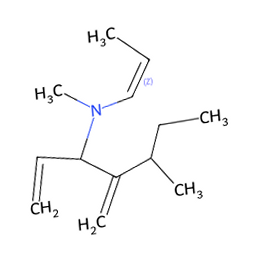 C=CC(C(=C)C(C)CC)N(C)/C=C\C